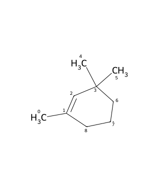 CC1=CC(C)(C)C[CH]C1